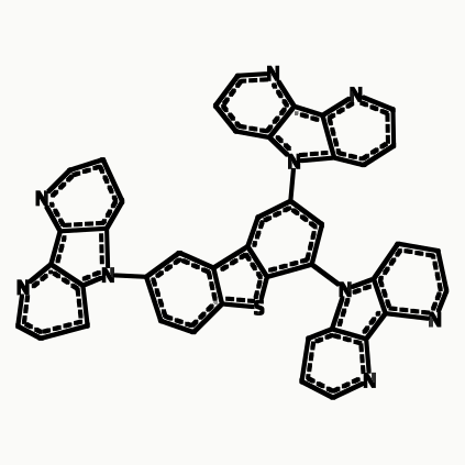 c1cnc2c3ncccc3n(-c3ccc4sc5c(-n6c7cccnc7c7ncccc76)cc(-n6c7cccnc7c7ncccc76)cc5c4c3)c2c1